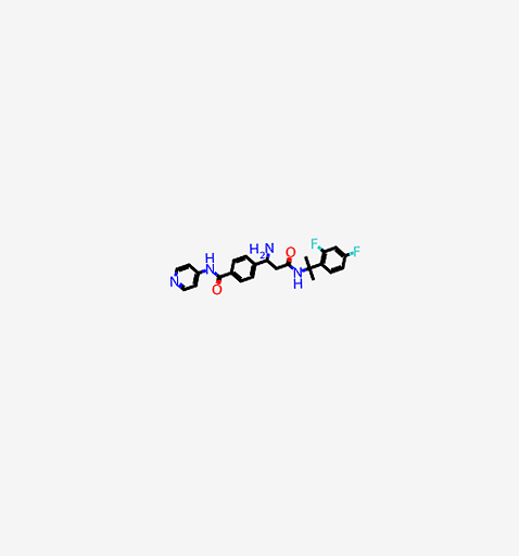 CC(C)(NC(=O)CC(N)c1ccc(C(=O)Nc2ccncc2)cc1)c1ccc(F)cc1F